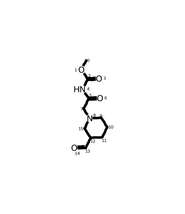 COC(=O)NC(=O)CN1CCCC(C=O)C1